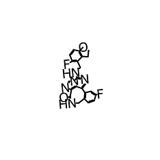 O=C1NCc2ccc(F)cc2-c2cnc(NCc3c(F)ccc4c3CCO4)n3cnc1c23